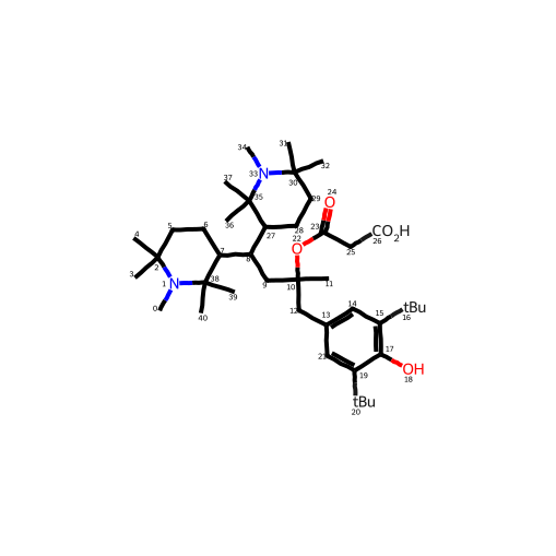 CN1C(C)(C)CCC(C(CC(C)(Cc2cc(C(C)(C)C)c(O)c(C(C)(C)C)c2)OC(=O)CC(=O)O)C2CCC(C)(C)N(C)C2(C)C)C1(C)C